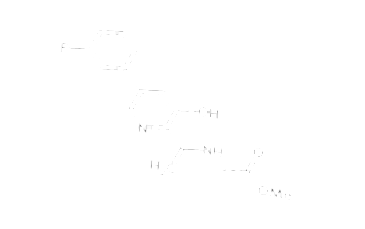 C=C(NCC(=O)OC)c1ncc(-c2cccc(F)c2)cc1O